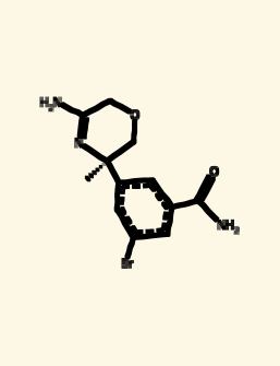 C[C@@]1(c2cc(Br)cc(C(N)=O)c2)COCC(N)=N1